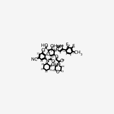 Cc1ccc(-c2cn([C@H]3[C@@H](O)[C@@H](CO)O[C@@H](C(=O)N(c4cc(Cl)cc(C#N)c4)[C@H]4CCCC[C@@H]4O)[C@@H]3OCC(=O)N3CCOCC3)nn2)c(F)c1F